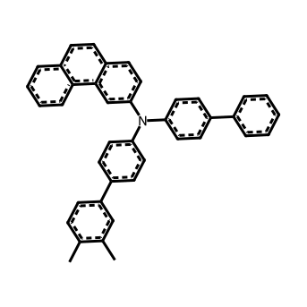 Cc1ccc(-c2ccc(N(c3ccc(-c4ccccc4)cc3)c3ccc4ccc5ccccc5c4c3)cc2)cc1C